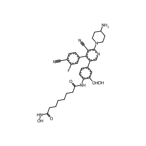 Cl.N#Cc1ccc(-c2c(-c3ccc(NC(=O)CCCCCCC(=O)NO)c(O)c3)cnc(N3CCC(N)CC3)c2C#N)cc1F